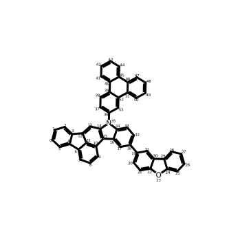 c1ccc2c(c1)-c1cccc3c1c-2cc1c3c2cc(-c3ccc4oc5ccccc5c4c3)ccc2n1-c1ccc2c3ccccc3c3ccccc3c2c1